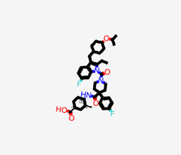 CCc1c(CC2CCC(OC(C)C)CC2)c2ccc(F)cc2n1C(=O)N1CCC(C(=O)N[C@H]2CC[C@H](C(=O)O)C[C@@H]2C)(c2ccc(F)cc2)CC1